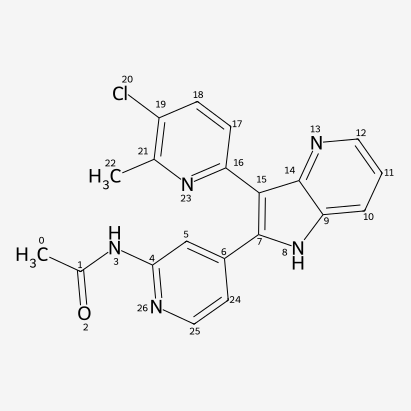 CC(=O)Nc1cc(-c2[nH]c3cccnc3c2-c2ccc(Cl)c(C)n2)ccn1